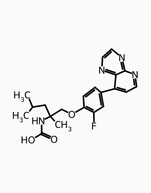 CC(C)CC(C)(COc1ccc(-c2ccnc3nccnc23)cc1F)NC(=O)O